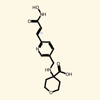 O=C(/C=C/c1ccc(CNC2(C(=O)O)CCOCC2)cn1)NO